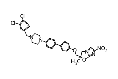 C[C@]1(COc2ccc(-c3ccc(N4CCN(Cc5ccc(Cl)c(Cl)c5)CC4)cc3)cc2)Cn2cc([N+](=O)[O-])nc2O1